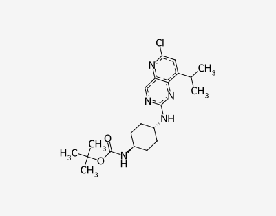 CC(C)c1cc(Cl)nc2cnc(N[C@H]3CC[C@H](NC(=O)OC(C)(C)C)CC3)nc12